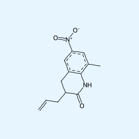 C=CCC1Cc2cc([N+](=O)[O-])cc(C)c2NC1=O